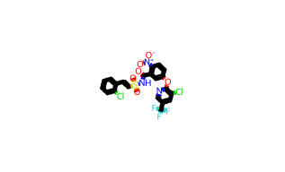 O=C(NS(=O)(=O)C=Cc1ccccc1Cl)c1cc(Oc2ncc(C(F)(F)F)cc2Cl)ccc1[N+](=O)[O-]